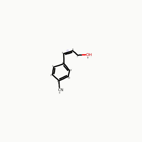 N#Cc1ccc(/C=C\CO)cc1